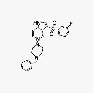 O=S(=O)(C1=CNC2C=CN(N3CCN(Cc4ccccc4)CC3)C=C12)c1cccc(F)c1